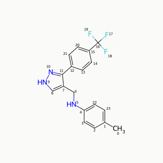 Cc1ccc(NCc2c[nH]nc2-c2ccc(C(F)(F)F)cc2)cc1